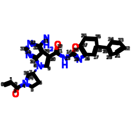 C=CC(=O)N1CC[C@@H](n2cc(C(=O)Nc3nc4cc(-c5ccccc5)ccc4o3)c3c(N)ncnc32)C1